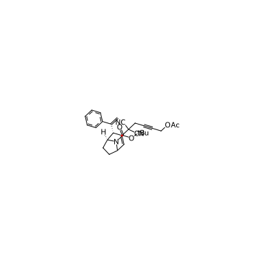 C=C(c1ccccc1)[C@@H]1C(C(C#N)(C#N)CC#CCOC(C)=O)=CC2CC[C@@H]1N2C(=O)OC(C)(C)C